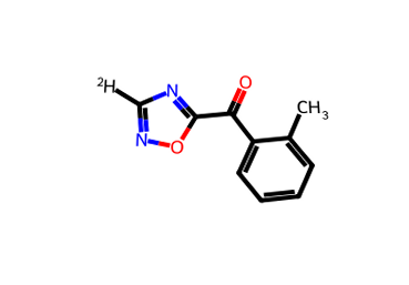 [2H]c1noc(C(=O)c2ccccc2C)n1